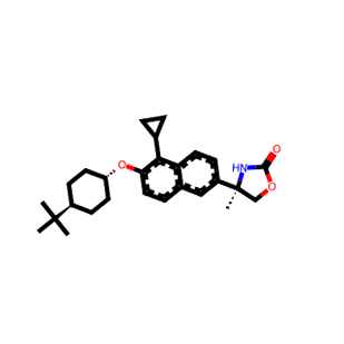 CC(C)(C)[C@H]1CC[C@H](Oc2ccc3cc([C@]4(C)COC(=O)N4)ccc3c2C2CC2)CC1